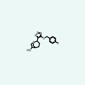 OC1CN2CC1CCC2c1nsnc1OCc1ccc(F)cc1